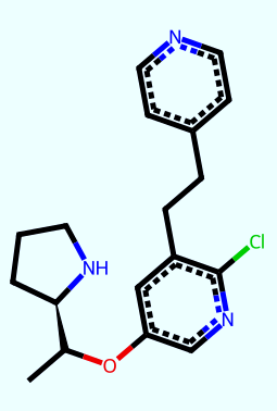 CC(Oc1cnc(Cl)c(CCc2ccncc2)c1)[C@H]1CCCN1